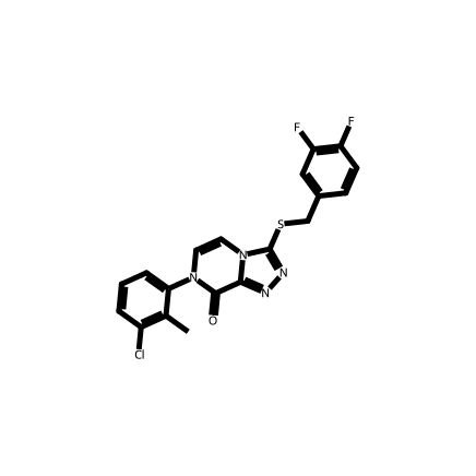 Cc1c(Cl)cccc1-n1ccn2c(SCc3ccc(F)c(F)c3)nnc2c1=O